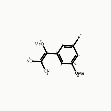 COC(=C(C#N)C#N)c1cc(F)cc(OC)c1